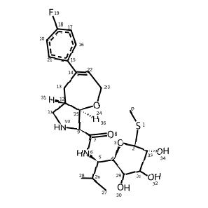 CSC1O[C@H]([C@H](NC(=O)[C@H]2NC[C@@H]3CC(c4ccc(F)cc4)=CCO[C@H]32)C(C)C)C(O)C(O)[C@H]1O